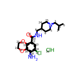 CC(C)CN1CCC(CNC(=O)c2cc(Cl)c(N)c3c2OCCO3)CC1.Cl